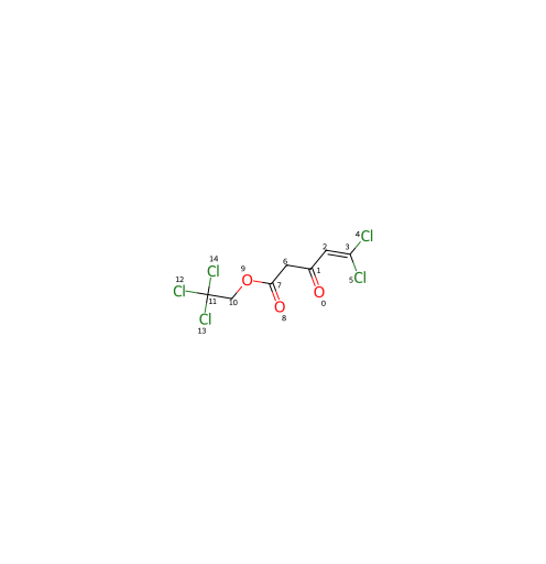 O=C(C=C(Cl)Cl)CC(=O)OCC(Cl)(Cl)Cl